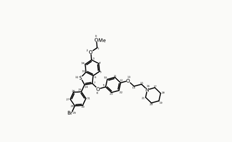 COCOc1ccc2c(Oc3ccc(OCCN4CCCCC4)cc3)c(-c3ccc(Br)cc3)sc2c1